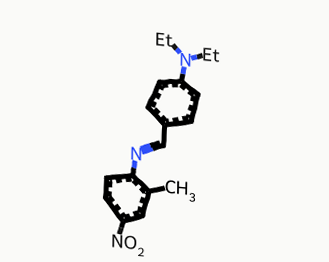 CCN(CC)c1ccc(C=Nc2ccc([N+](=O)[O-])cc2C)cc1